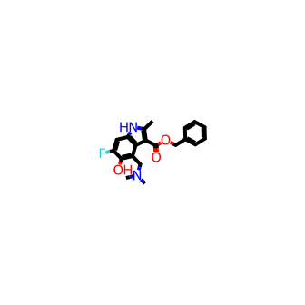 Cc1[nH]c2cc(F)c(O)c(CN(C)C)c2c1C(=O)OCc1ccccc1